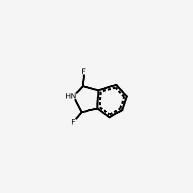 FC1NC(F)c2ccccc21